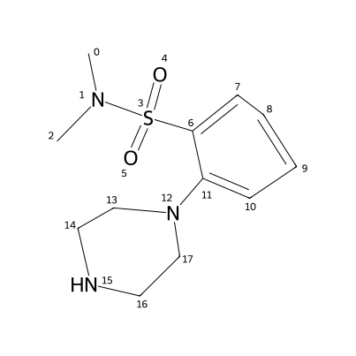 CN(C)S(=O)(=O)c1ccccc1N1CCNCC1